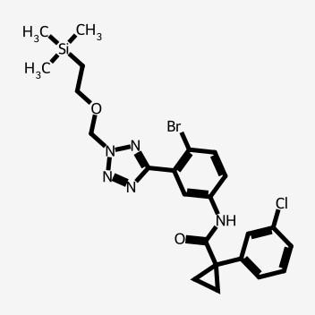 C[Si](C)(C)CCOCn1nnc(-c2cc(NC(=O)C3(c4cccc(Cl)c4)CC3)ccc2Br)n1